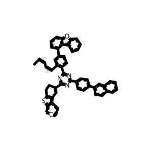 C/C=C\C=C/c1cc(-c2cccc3oc4ccccc4c23)ccc1-c1nc(C2=Cc3c(sc4ccccc34)CC2)nc(-c2ccc(-c3ccc4ccccc4c3)cc2)n1